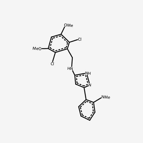 CNc1ccccc1-c1cc(NCc2c(Cl)c(OC)cc(OC)c2Cl)[nH]n1